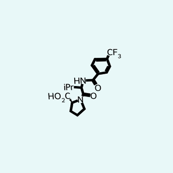 CC(C)C(NC(=O)c1ccc(C(F)(F)F)cc1)C(=O)N1CCC[C@H]1C(=O)O